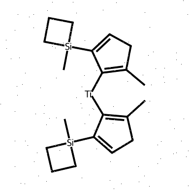 CC1=[C]([Ti][C]2=C(C)CC=C2[Si]2(C)CCC2)C([Si]2(C)CCC2)=CC1